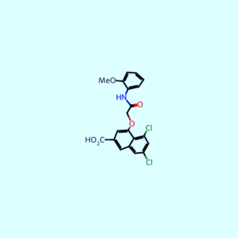 COc1ccccc1NC(=O)COc1cc(C(=O)O)cc2cc(Cl)cc(Cl)c12